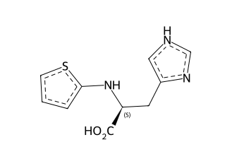 O=C(O)[C@H](Cc1c[nH]cn1)Nc1cccs1